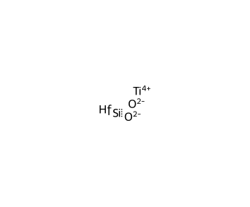 [Hf].[O-2].[O-2].[Si].[Ti+4]